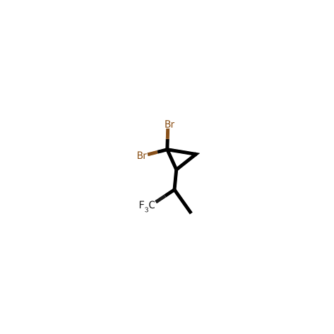 CC(C1CC1(Br)Br)C(F)(F)F